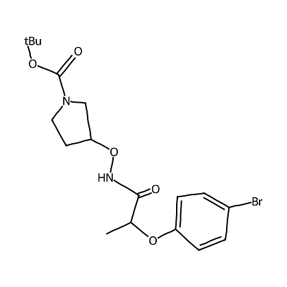 CC(Oc1ccc(Br)cc1)C(=O)NOC1CCN(C(=O)OC(C)(C)C)C1